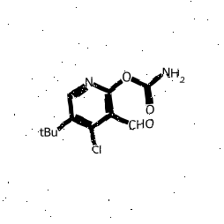 CC(C)(C)c1cnc(OC(N)=O)c(C=O)c1Cl